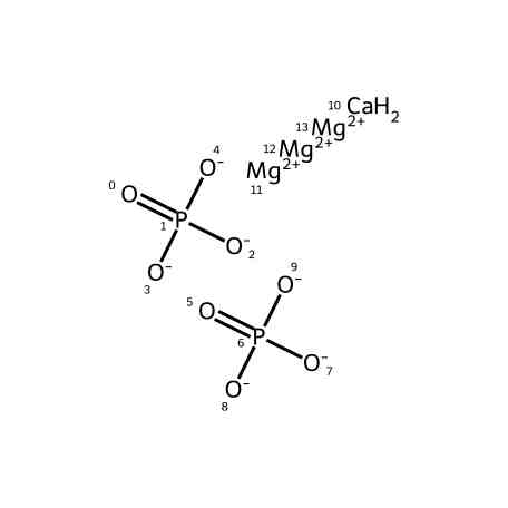 O=P([O-])([O-])[O-].O=P([O-])([O-])[O-].[CaH2].[Mg+2].[Mg+2].[Mg+2]